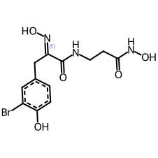 O=C(CCNC(=O)/C(Cc1ccc(O)c(Br)c1)=N/O)NO